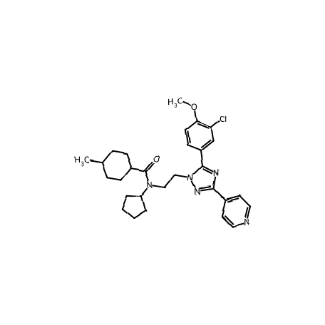 COc1ccc(-c2nc(-c3ccncc3)nn2CCN(C(=O)C2CCC(C)CC2)C2CCCC2)cc1Cl